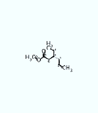 CCC[C@@H](CC)CC(=O)OC